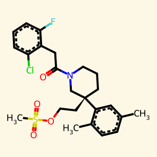 Cc1ccc(C)c([C@@]2(CCOS(C)(=O)=O)CCCN(C(=O)Cc3c(F)cccc3Cl)C2)c1